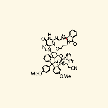 COc1ccc(C(c2ccccc2)(c2ccc(OC)cc2)C(O)[C@H]2O[C@@H](n3cnc4c(=O)[nH]c(N=CN(C)C)nc43)[C@H](OCCCN3C(=O)c4ccccc4C3=O)[C@@H]2OP(=O)(OCCC#N)N(C(C)C)C(C)C)cc1